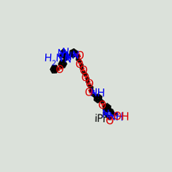 CC(C)[C@H]1C(=O)N[C@H](CO)Cc2ccc(OCc3ccc(CNC(=O)CCOCCOCCOCCOCCC(=O)N4CCC[C@@H](n5nc(-c6ccc(Oc7ccccc7)cc6)c6c(N)ncnc65)C4)cc3)cc2N1C